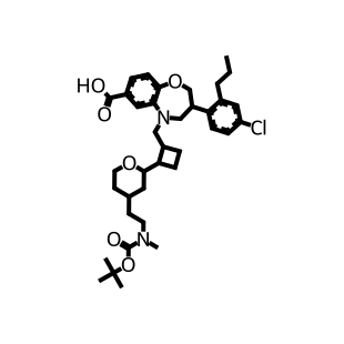 CCCc1cc(Cl)ccc1C1COc2ccc(C(=O)O)cc2N(CC2CCC2C2CC(CCN(C)C(=O)OC(C)(C)C)CCO2)C1